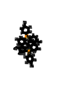 Cc1ccc(P(c2ccc(C)cc2)c2cccc3c2C2(CC3)CCc3cccc(P(c4ccc(C)cc4)c4ccc(C)cc4)c32)cc1